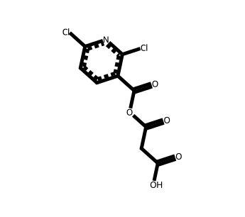 O=C(O)CC(=O)OC(=O)c1ccc(Cl)nc1Cl